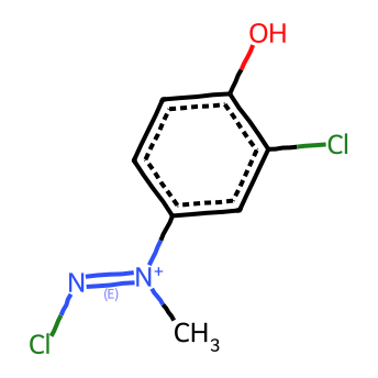 C/[N+](=N\Cl)c1ccc(O)c(Cl)c1